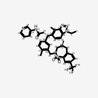 CCn1nnc2c(C)c([C@@H](CC(=O)Nc3cccnc3)c3ccc(C)c(CN4C[C@@H](C)Cc5ccc(C(F)(F)F)cc5S4(=O)=O)c3)ccc21